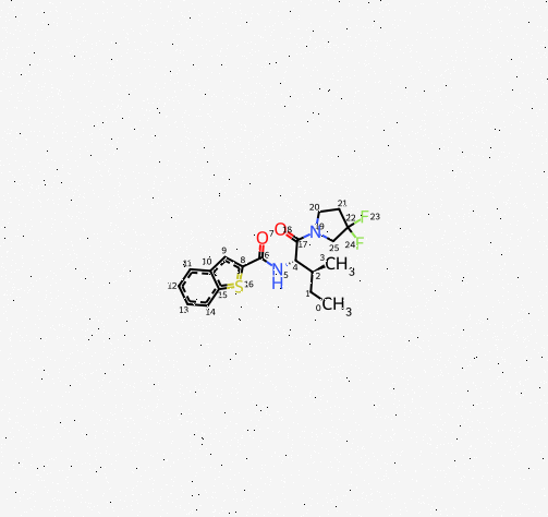 CC[C@H](C)[C@H](NC(=O)c1cc2ccccc2s1)C(=O)N1CCC(F)(F)C1